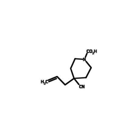 C=CCC1(C#N)CCN(C(=O)O)CC1